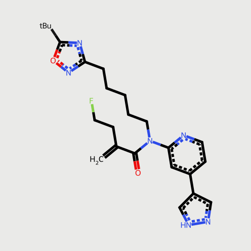 C=C(CCF)C(=O)N(CCCCCc1noc(C(C)(C)C)n1)c1cc(-c2cn[nH]c2)ccn1